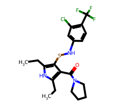 CCc1[nH]c(CC)c(C(=O)N2CCCC2)c1SNc1ccc(C(F)(F)F)c(Cl)c1